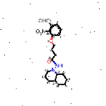 O=Cc1cccc(OCCCC(=O)NN2CCCC3CCCCC32)c1[N+](=O)[O-]